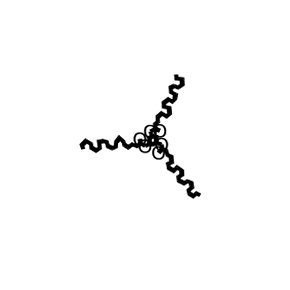 C/C=C\C/C=C\C/C=C\C/C=C\C/C=C\C/C=C\CCC(=O)Oc1cc(OC(=O)CC/C=C\C/C=C\C/C=C\C/C=C\C/C=C\C/C=C\CC)cc(OC(=O)CC/C=C\C/C=C\C/C=C\C/C=C\C/C=C\C/C=C\CC)c1